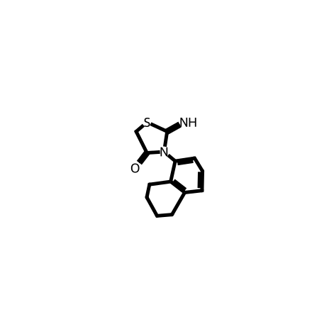 N=C1SCC(=O)N1c1cccc2c1CCCC2